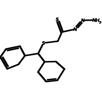 NN=NC(=S)CSC(C1C=CC=CC1)C1CC=CCC1